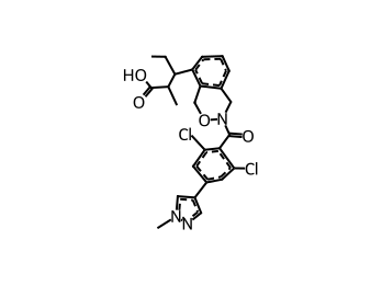 CCC(c1cccc2c1CON(C(=O)c1c(Cl)cc(-c3cnn(C)c3)cc1Cl)C2)C(C)C(=O)O